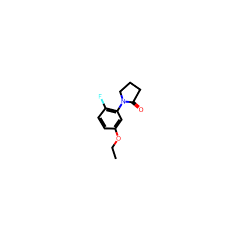 CCOc1ccc(F)c(N2CCCC2=O)c1